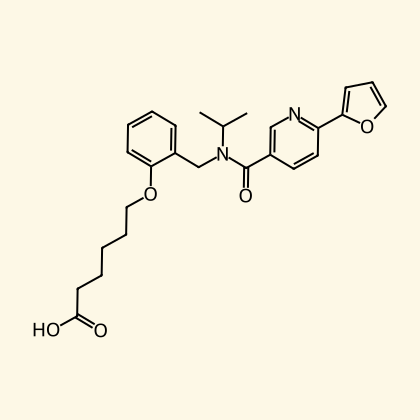 CC(C)N(Cc1ccccc1OCCCCCC(=O)O)C(=O)c1ccc(-c2ccco2)nc1